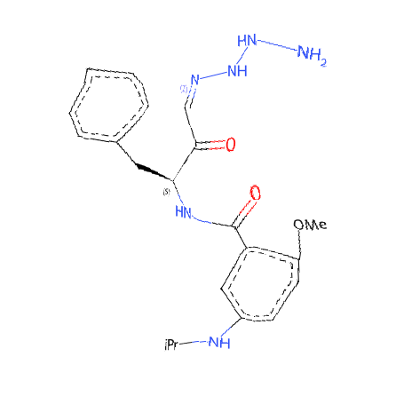 COc1ccc(NC(C)C)cc1C(=O)N[C@@H](Cc1ccccc1)C(=O)/C=N\NNN